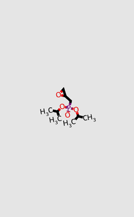 CC(C)OP(=O)(CC1CO1)OC(C)C